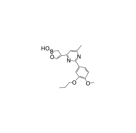 CCCOc1cc(-c2nc(C)cc(C3=COB(O)C3)n2)ccc1OC